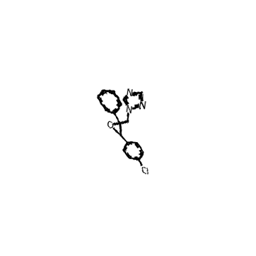 Clc1ccc(C2OC2(Cn2cncn2)c2ccccc2)cc1